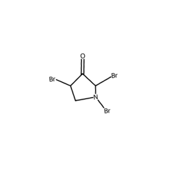 O=C1C(Br)CN(Br)C1Br